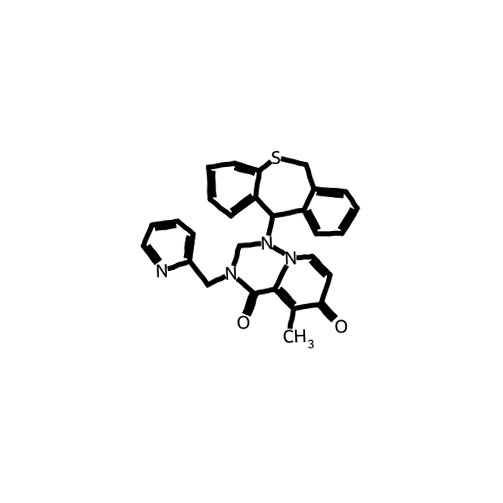 Cc1c2n(ccc1=O)N(C1c3ccccc3CSc3ccccc31)CN(Cc1ccccn1)C2=O